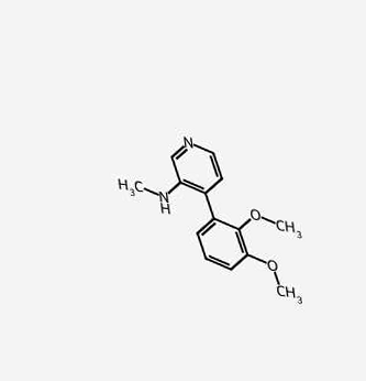 CNc1cnccc1-c1cccc(OC)c1OC